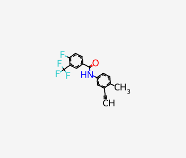 C#Cc1cc(NC(=O)c2ccc(F)c(C(F)(F)F)c2)ccc1C